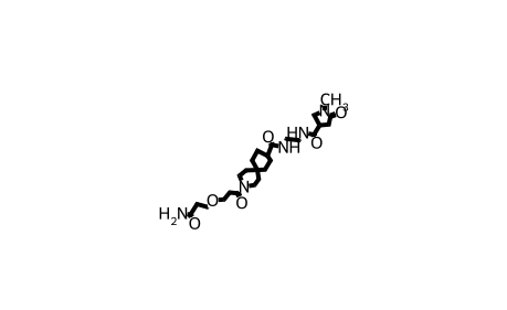 CN1CC(C(=O)NCCNC(=O)C2CCC3(CC2)CCN(C(=O)CCOCCC(N)=O)CC3)CC1=O